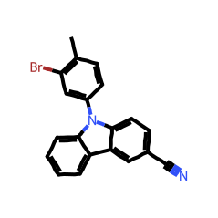 Cc1ccc(-n2c3ccccc3c3cc(C#N)ccc32)cc1Br